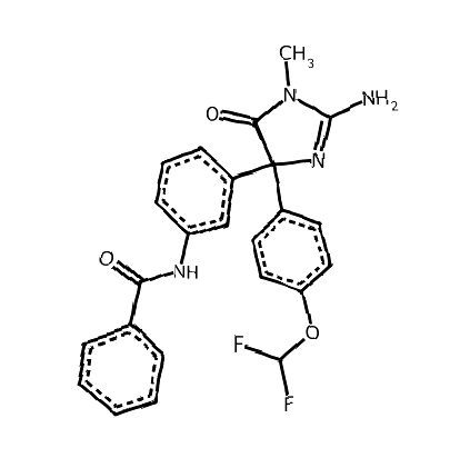 CN1C(=O)C(c2ccc(OC(F)F)cc2)(c2cccc(NC(=O)c3ccccc3)c2)N=C1N